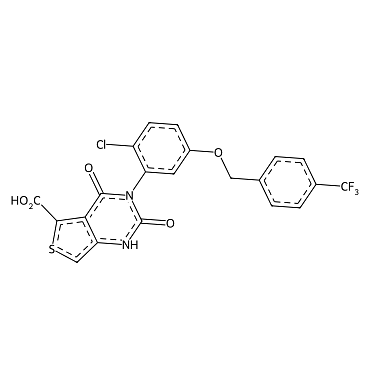 O=C(O)c1scc2[nH]c(=O)n(-c3cc(OCc4ccc(C(F)(F)F)cc4)ccc3Cl)c(=O)c12